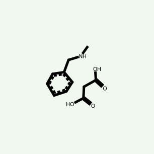 CNCc1ccccc1.O=C(O)CC(=O)O